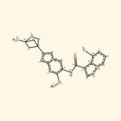 CC(C)Oc1nc2nc(C34COC(C)(C3)C4)cn2cc1NC(=O)c1cnn2cccc(F)c12